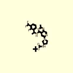 Cc1nc(NC(C)c2cccc(C(F)F)c2F)c2cc(N3CC[C@@H](NC(=O)OC(C)(C)C)C3)ncc2n1